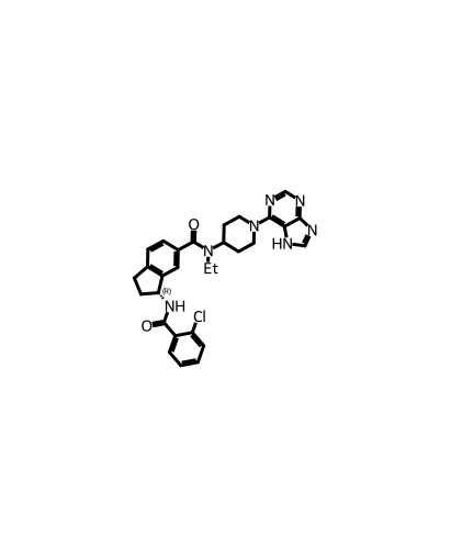 CCN(C(=O)c1ccc2c(c1)[C@H](NC(=O)c1ccccc1Cl)CC2)C1CCN(c2ncnc3nc[nH]c23)CC1